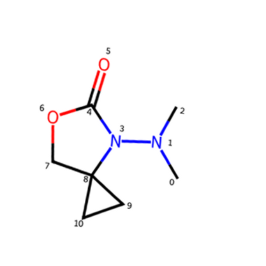 CN(C)N1C(=O)OCC12CC2